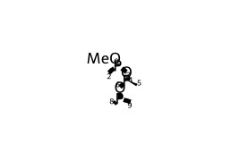 COP(C)O[P@@](C)OP(C)C